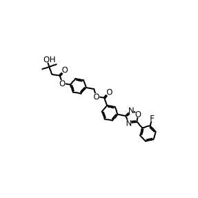 CC(C)(O)CC(=O)Oc1ccc(COC(=O)c2cccc(-c3noc(-c4ccccc4F)n3)c2)cc1